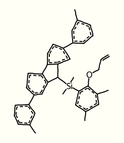 C=CCOc1c(C)cc(C)cc1[Si](C)(C)C1c2cc(-c3cccc(C)c3)ccc2-c2ccc(-c3cccc(C)c3)cc21